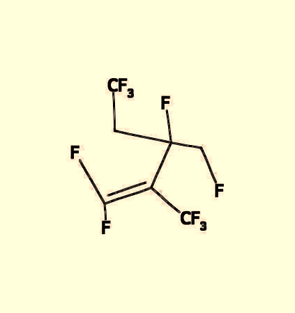 FCC(F)(CC(F)(F)F)C(=C(F)F)C(F)(F)F